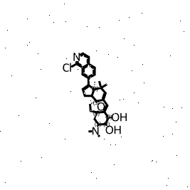 CN(C)[C@H]1C[C@@]23CC[C@@]4(O2)C(=CC(C)(C)[C@]2(C)C(c5ccc6ccnc(Cl)c6c5)=CCC42)C=C3[C@@H](O)[C@@H]1O